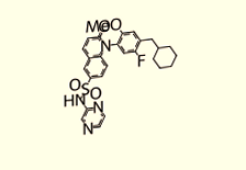 COc1cc(CC2CCCCC2)c(F)cc1-n1c(=O)ccc2cc(S(=O)(=O)Nc3cnccn3)ccc21